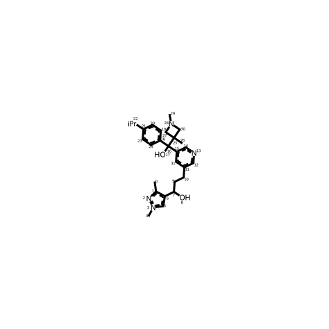 Cc1nn(C)cc1C(O)CCc1cncc(C(O)(c2ccc(C(C)C)cc2)C2(C)CN(C)C2)c1